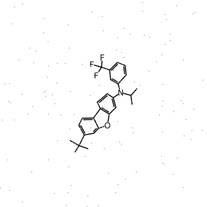 CC(C)N(c1cccc(C(F)(F)F)c1)c1ccc2c(c1)oc1cc(C(C)(C)C)ccc12